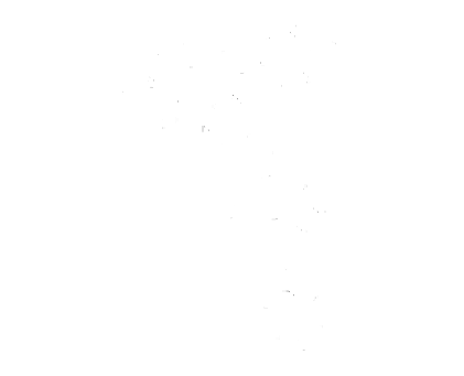 Cc1cc(Nc2nc(-c3cnc(N)nc3)cc3c2C(C=O)N(C)C=C3)ccc1-c1cnn(CCN2CCOCC2)c1